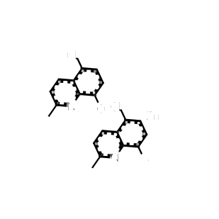 Cc1ccc2c(Cl)ccc([O-])c2n1.Cc1ccc2c(Cl)ccc([O-])c2n1.[Zn+2]